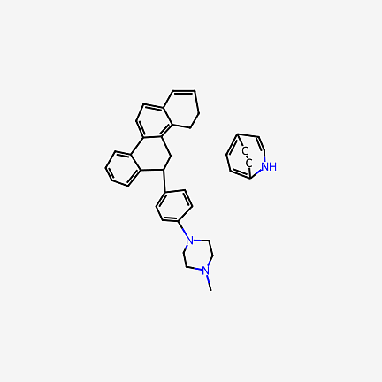 C1=CC2=CC=C(CC2)N1.CN1CCN(c2ccc(C3Cc4c(ccc5c4CCC=C5)-c4ccccc43)cc2)CC1